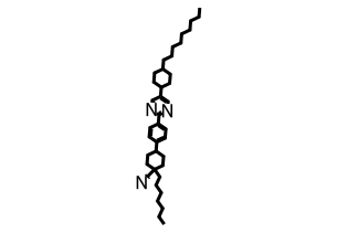 CCCCCCCCCC1CCC(c2cnc(-c3ccc(C4CCC(C#N)(CCCCCCC)CC4)cc3)nc2)CC1